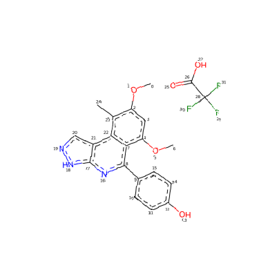 COc1cc(OC)c2c(-c3ccc(O)cc3)nc3[nH]ncc3c2c1C.O=C(O)C(F)(F)F